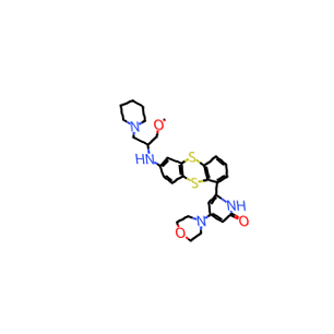 COCC(CN1CCCCC1)Nc1ccc2c(c1)Sc1cccc(-c3cc(N4CCOCC4)cc(=O)[nH]3)c1S2